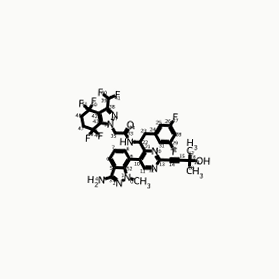 Cn1nc(N)c2cccc(-c3cnc(C#CC(C)(C)O)nc3C(Cc3cc(F)cc(F)c3)NC(=O)Cn3nc(C(F)F)c4c3C(F)(F)CCC4(F)F)c21